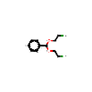 FCCOC(OCCF)c1ccccc1